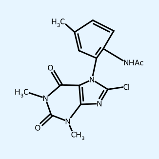 CC(=O)Nc1ccc(C)cc1-n1c(Cl)nc2c1c(=O)n(C)c(=O)n2C